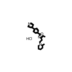 Cc1oc(-c2ccc(-c3ccncc3)cc2)nc1CCN1CCCCC1C.Cl